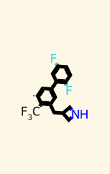 Fc1ccc(F)c(-c2c[c]c(C(F)(F)F)c(CC3CNC3)c2)c1